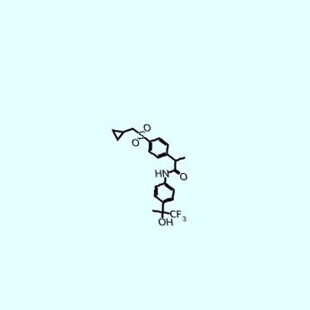 CC(C(=O)Nc1ccc(C(C)(O)C(F)(F)F)cc1)c1ccc(S(=O)(=O)CC2CC2)cc1